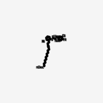 CCCCCCCCCCCCCCCCCCCCCC#CCCc1ccccc1/N=C(CCCCCC)/C(CCCC)=N/c1ccc(CC)c(CC)c1.[Ni]